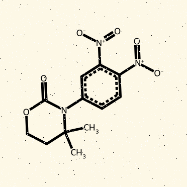 CC1(C)CCOC(=O)N1c1ccc([N+](=O)[O-])c([N+](=O)[O-])c1